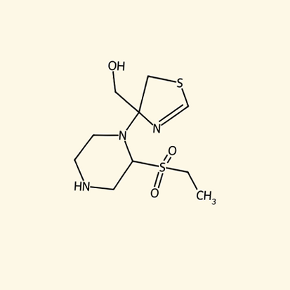 CCS(=O)(=O)C1CNCCN1C1(CO)CSC=N1